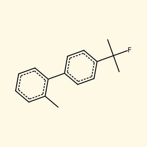 Cc1ccccc1-c1ccc(C(C)(C)F)cc1